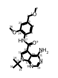 COCc1ccc(NC(=O)c2cn(C(C)(C)C)c3ncnc(N)c23)c(OC)c1